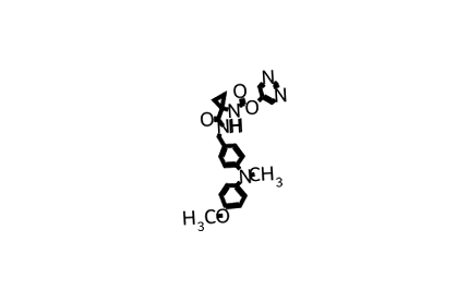 COc1ccc(N(C)c2ccc(CNC(=O)C3(NC(=O)Oc4cncnc4)CC3)cc2)cc1